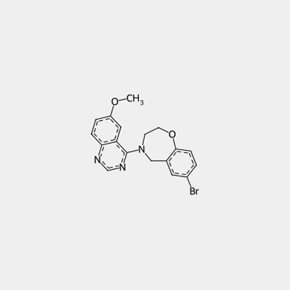 COc1ccc2ncnc(N3CCOc4ccc(Br)cc4C3)c2c1